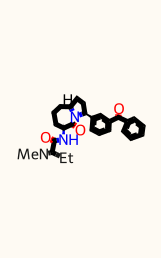 CCC(NC)C(=O)N[C@H]1CCC[C@H]2CC[C@@H](c3cccc(C(=O)c4ccccc4)c3)N2C1=O